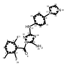 Cc1ccc(F)c(C(=O)n2nc(Nc3ccc(-n4ccnc4)cc3)nc2N)c1F